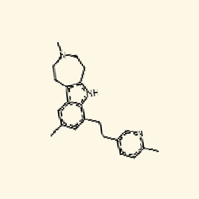 Cc1cc(CCc2ccc(C)nc2)c2[nH]c3c(c2c1)CCN(C)CC3